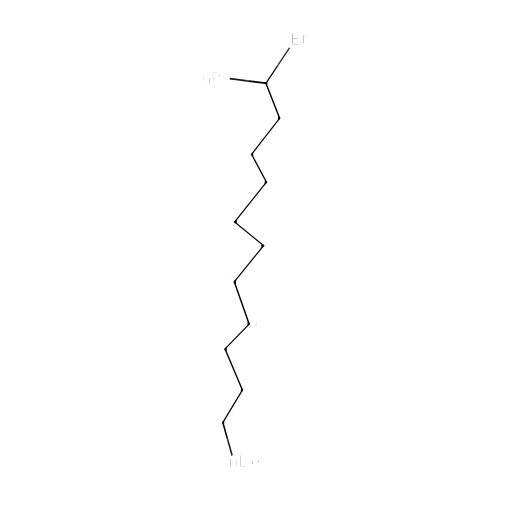 CCCCCCCCCCCCCCCCCCCCC(CC)CCC